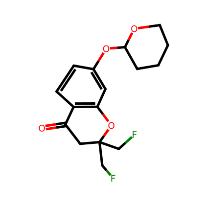 O=C1CC(CF)(CF)Oc2cc(OC3CCCCO3)ccc21